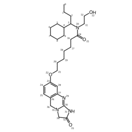 CCCC(C1CCCCC1)N(CCO)C(=O)CCCCCCOc1ccc2c(c1)N=C1NC(=O)CN1C2